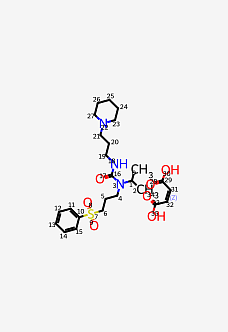 CC(C)N(CCCS(=O)(=O)c1ccccc1)C(=O)NCCCN1CCCCC1.O=C(O)/C=C\C(=O)O